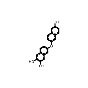 Oc1ccc2cc(Oc3ccc4cc(O)c(O)cc4c3)ccc2c1